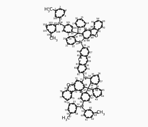 Cc1cccc(N(c2ccc(C3(c4ccccc4)c4ccccc4N(c4ccc5cc6cc(N7c8ccccc8C(c8ccccc8)(c8ccc(N(c9cccc(C)c9)c9cccc(C)c9)cc8)c8cc9c(cc87)oc7ccccc79)ccc6cc5c4)c4cc5oc6ccccc6c5cc43)cc2)c2cccc(C)c2)c1